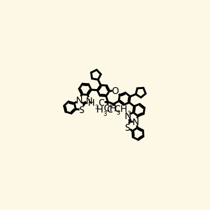 CC1(C)c2cc(-c3cccc4c3nc3sc5ccccc5n34)c(C3CCCC3)cc2Oc2cc(C3CCCC3)c(-c3cccc4c3nc3sc5ccccc5n34)cc2C1(C)C